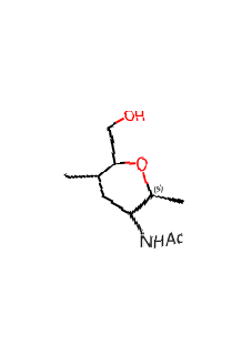 CC(=O)NC1CC(C)C(CO)O[C@H]1C